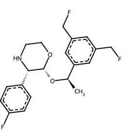 C[C@@H](O[C@H]1OCCN[C@H]1c1ccc(F)cc1)c1cc(CF)cc(CF)c1